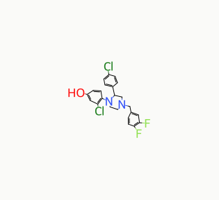 Oc1ccc(N2CCN(Cc3ccc(F)c(F)c3)CC2c2ccc(Cl)cc2)c(Cl)c1